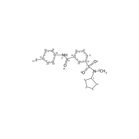 CN(C1CCCC1)S(=O)(=O)c1cccc(C(=O)Nc2ccc(F)cc2)c1